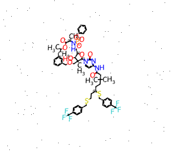 CC(C)OC(=O)[C@H](C)NP(=O)(OC[C@H]1O[C@@H](n2ccc(NC(=O)CC(C)(C)CC[C@H](CCSCc3ccc(C(F)(F)F)cc3)SCc3ccc(C(F)(F)F)cc3)nc2=O)C(C)(COCc2ccccc2)C1O)Oc1ccccc1